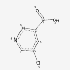 O=C(O)c1cc(Cl)cnn1